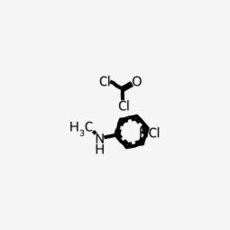 CNc1ccccc1.Cl.O=C(Cl)Cl